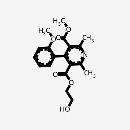 COC(=O)c1c(C)nc(C)c(C(=O)OCCO)c1-c1ccccc1OC